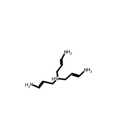 NC=CC[SiH](CC=CN)CC=CN